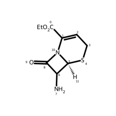 CCOC(=O)C1=CCS[C@H]2C(N)C(=O)N12